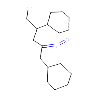 CCC(CC(CC1CCCCC1)=[N+]=[N-])C1CCCCC1